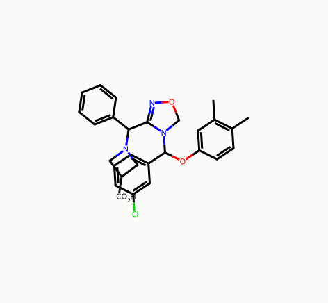 Cc1ccc(OC(c2cccc(Cl)c2)N2CON=C2C(c2ccccc2)N2CC(C(=O)O)C2)cc1C